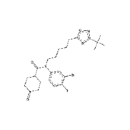 CC(C)(C)c1noc(CCCCCN(C(=O)C2CCC(=O)CC2)c2ccc(F)c(Br)c2)n1